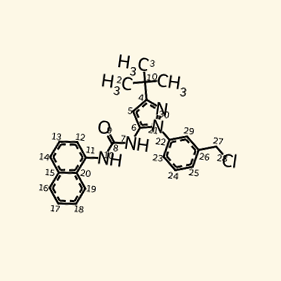 CC(C)(C)c1cc(NC(=O)Nc2cccc3ccccc23)n(-c2cccc(CCl)c2)n1